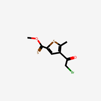 COC(=S)c1cc(C(=O)CBr)c(C)s1